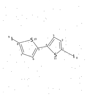 Ic1ccc(-c2ccc(I)s2)s1